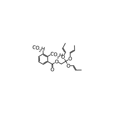 CC=COC(COC(=O)c1cccc(C(=O)O)c1C(=O)O)(OC=CC)OC=CC